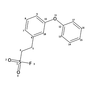 O=S(=O)(F)CCc1cccc(Oc2ccccc2)c1